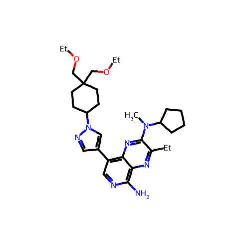 CCOCC1(COCC)CCC(n2cc(-c3cnc(N)c4nc(CC)c(N(C)C5CCCC5)nc34)cn2)CC1